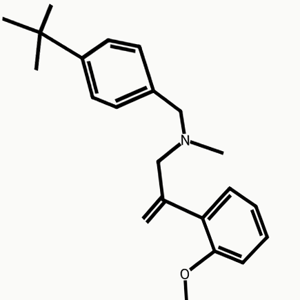 C=C(CN(C)Cc1ccc(C(C)(C)C)cc1)c1ccccc1OC